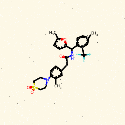 Cc1ccc(C(NC(=O)Cc2ccc(N3CCS(=O)(=O)CC3)c(C)c2)c2ccc(C)o2)c(C(F)(F)F)c1